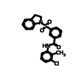 Cc1c(Cl)cccc1NC(=O)c1cccc(S(=O)(=O)N2CCc3ccccc32)c1